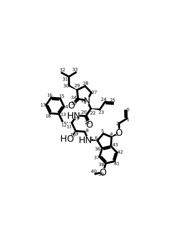 C=CCO[C@@H]1C[C@H](NC[C@@H](O)[C@H](Cc2ccccc2)NC(=O)[C@H](CC=C)N2CC[C@H](CC(C)C)C2=O)c2cc(OC)ccc21